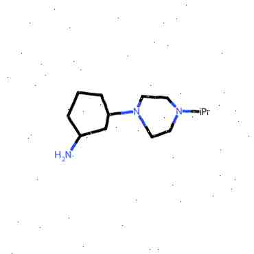 CC(C)N1CCN(C2CCCC(N)C2)CC1